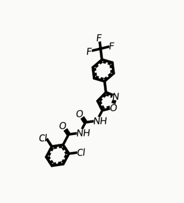 O=C(NC(=O)c1c(Cl)cccc1Cl)Nc1cc(-c2ccc(C(F)(F)F)cc2)no1